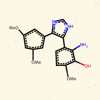 COc1cc(OC)cc(-c2nc[nH]c2-c2ccc(OC)c(O)c2N)c1